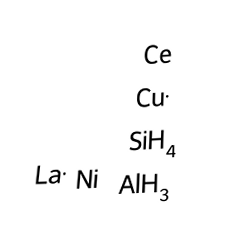 [AlH3].[Ce].[Cu].[La].[Ni].[SiH4]